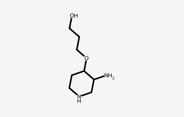 NC1CNCCC1OCCCO